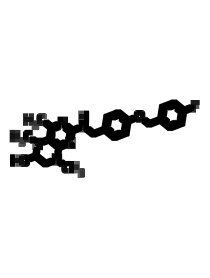 Cc1nc(NCc2ccc(OCc3ccc(F)cc3)cc2)nc2c1N(C)C(O)CN2C